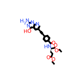 CCOC(=O)CC[C@H](NC(=O)c1ccc(C#Cc2cnc3nc(N)nc(O)c3c2)cc1)C(=O)OCC